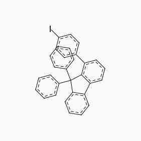 Ic1ccc(-c2cccc3c2C(c2ccccc2)(c2ccccc2)c2ccccc2-3)cc1